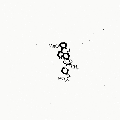 COc1cccc(Cl)c1-c1ccnc2cc(O[C@H](C)C(=O)N3CCC[C@H](CC(=O)O)C3)ccc12